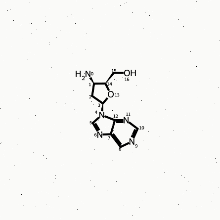 N[C@@H]1C[C@H](n2cnc3cncnc32)O[C@@H]1CO